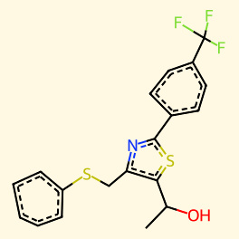 CC(O)c1sc(-c2ccc(C(F)(F)F)cc2)nc1CSc1ccccc1